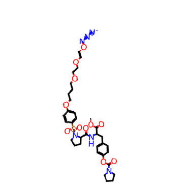 COC(=O)C(Cc1ccc(OC(=O)N2CCCC2)cc1)NC(=O)C1CCCN1S(=O)(=O)c1ccc(OCCCCOCCOCCON=[N+]=[N-])cc1